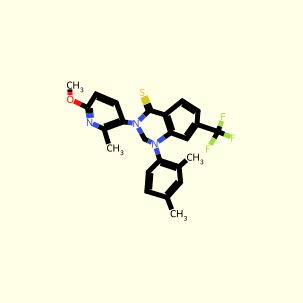 COc1ccc(N2CN(c3ccc(C)cc3C)c3cc(C(F)(F)F)ccc3C2=S)c(C)n1